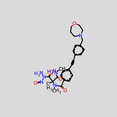 CN(N)C(=O)C(C)(C(=O)N(N)N=O)N(C)C(=O)c1ccc(C#Cc2ccc(CN3CCCOCC3)cc2)cc1